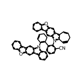 N#Cc1cccc(C2=C(n3c4ccccc4c4cc5oc6ccccc6c5cc43)C=CCC2)c1-n1c2c(c3cc4oc5ccccc5c4cc31)C=CCC#C2